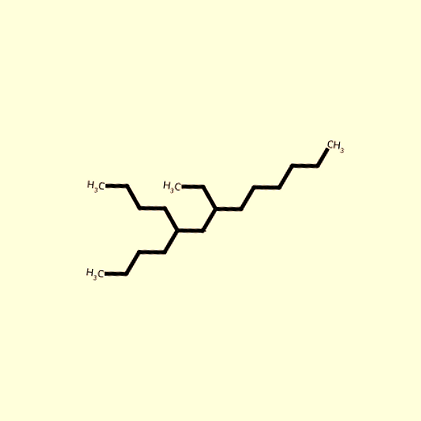 CCCCCCC([CH]C(CCCC)CCCC)CC